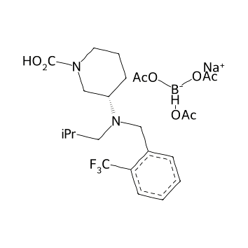 CC(=O)O[BH-](OC(C)=O)OC(C)=O.CC(C)CN(Cc1ccccc1C(F)(F)F)[C@H]1CCCN(C(=O)O)C1.[Na+]